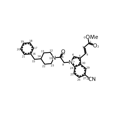 COC(=O)C=Cc1cn(CC(=O)N2CCC(Cc3ccccc3)CC2)c2ccc(C#N)cc12